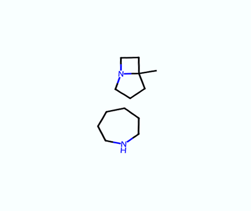 C1CCCNCC1.CC12CCCN1CC2